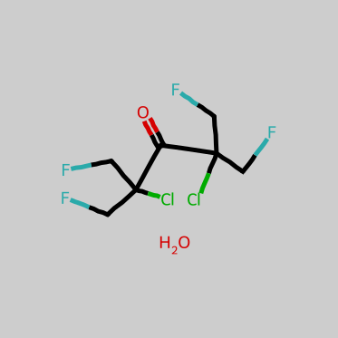 O.O=C(C(Cl)(CF)CF)C(Cl)(CF)CF